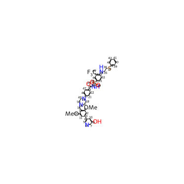 COc1cc(-c2cncc(O)c2)cc(OC)c1CN1CCN(c2ccc(C(=O)NS(=O)(=O)c3ccc(NCCSc4ccccc4)c(C(F)(F)F)c3)cc2)CC1